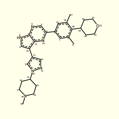 Cc1cc(-c2cnc3[nH]cc(-c4cnn(C5CCN(C)CC5)c4)c3n2)cc(C)c1C1CCOCC1